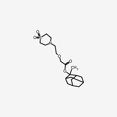 CC1(OC(=O)COCCN2CCS(=O)(=O)CC2)C2CC3CC(C2)CC1C3